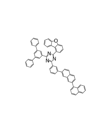 c1ccc(-c2cc(-c3ccccc3)cc(-c3nc(-c4cccc(-c5ccc6ccc(-c7cccc8ccccc78)cc6c5)c4)nc(-c4cccc5oc6ccccc6c45)n3)c2)cc1